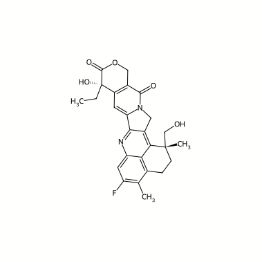 CC[C@@]1(O)C(=O)OCc2c1cc1n(c2=O)Cc2c-1nc1cc(F)c(C)c3c1c2[C@](C)(CO)CC3